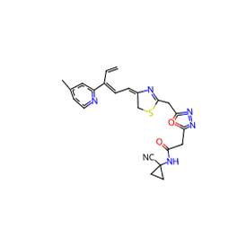 C=C/C(=C\C=C1/CSC(Cc2nnc(CC(=O)NC3(C#N)CC3)o2)=N1)c1cc(C)ccn1